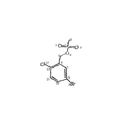 CS(=O)(=O)OCc1cc(Br)ccc1Cl